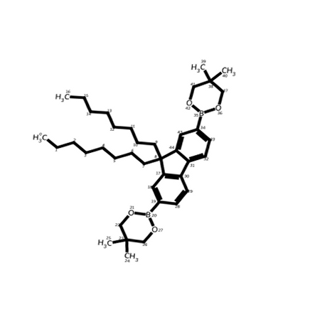 CCCCCCCCC1(CCCCCCCC)c2cc(B3OCC(C)(C)CO3)ccc2-c2ccc(B3OCC(C)(C)CO3)cc21